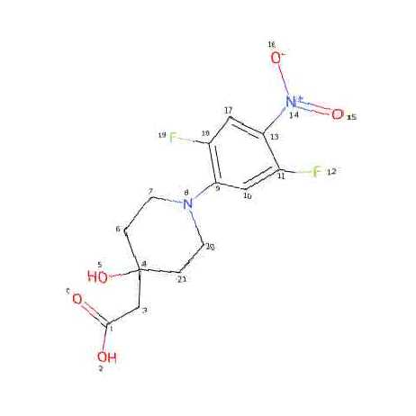 O=C(O)CC1(O)CCN(c2cc(F)c([N+](=O)[O-])cc2F)CC1